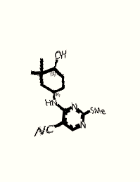 CSc1ncc(C#N)c(N[C@@H]2CC[C@H](O)C(C)(C)C2)n1